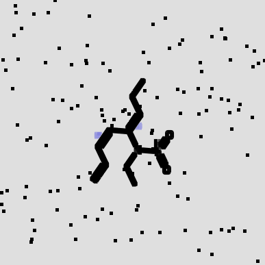 C=C/C=C\C(=C/CC)N(CC)[SH](=O)=O